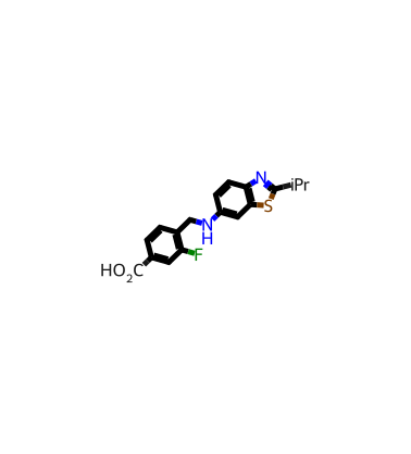 CC(C)c1nc2ccc(NCc3ccc(C(=O)O)cc3F)cc2s1